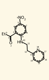 CCC(=O)c1cc([N+](=O)[O-])ccc1NCCc1ccccn1